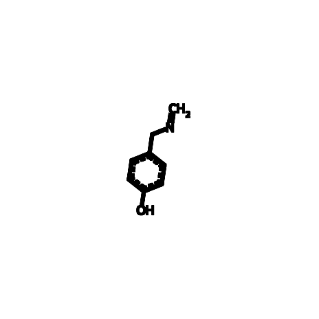 C=NCc1ccc(O)cc1